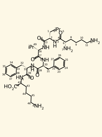 CC(C)C[C@H](NC(=O)[C@@H](N)CCCCN)C(=O)N[C@H](C(=O)N[C@@H](Cc1ccccc1)C(=O)N[C@@H](Cc1ccccc1)C(=O)N[C@@H](CCCCN)C(=O)O)C(C)C